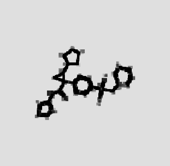 O=C(Nc1nccs1)C1(c2ccc(S(=O)(=O)Cc3cccnc3)cc2)CC1C1CCCC1